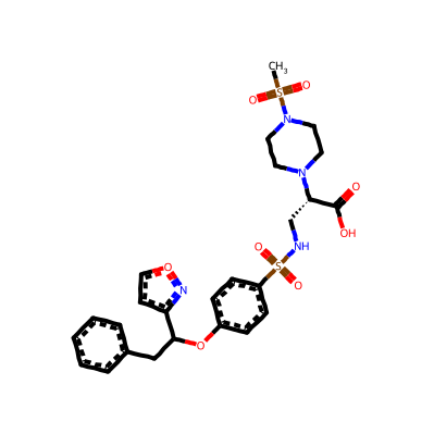 CS(=O)(=O)N1CCN([C@@H](CNS(=O)(=O)c2ccc(OC(Cc3ccccc3)c3ccon3)cc2)C(=O)O)CC1